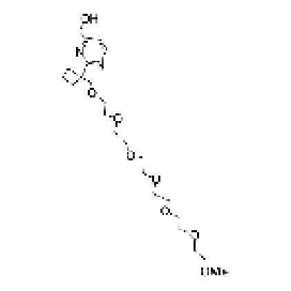 COCCOCCOCCOCCOCCOCCOCC1(c2nccc(CO)n2)CCC1